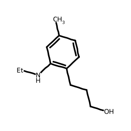 CCNc1cc(C)ccc1CCCO